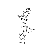 Cc1ccc(Sc2cnc(Cl)cc2C(=O)NCC(F)(F)c2ccc(C)cc2C)cc1